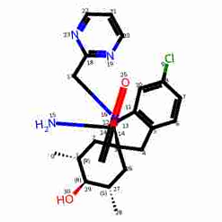 C[C@@H]1CC2(Cc3ccc(Cl)cc3[C@]23N=C(N)N(Cc2ncccn2)C3=O)C[C@H](C)[C@H]1O